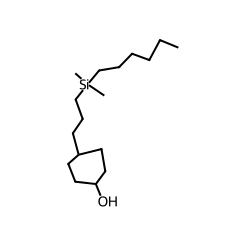 CCCCCC[Si](C)(C)CCCC1CCC(O)CC1